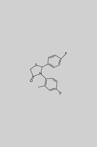 Cc1cc(F)ccc1N1C(=O)CSC1c1ccc(F)cc1